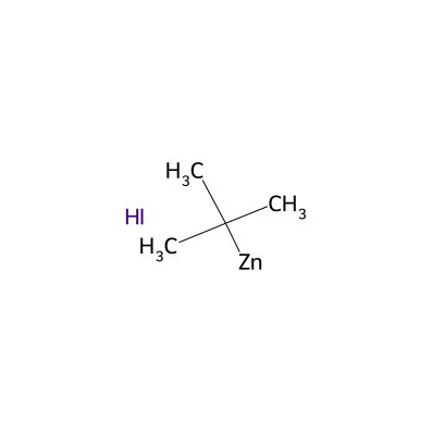 C[C](C)(C)[Zn].I